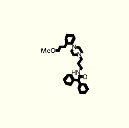 COCCCc1ccccc1N1CCN(CCCNC(=O)C(c2ccccc2)c2ccccc2)CC1